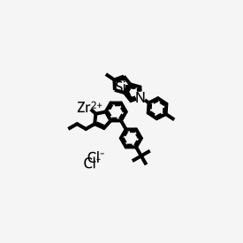 CC1=C2c3cn(-c4ccc(C)cc4)cc3C1[Si]2(C)C.CCCC1=Cc2c(-c3ccc(C(C)(C)C)cc3)cccc2[CH]1[Zr+2].[Cl-].[Cl-]